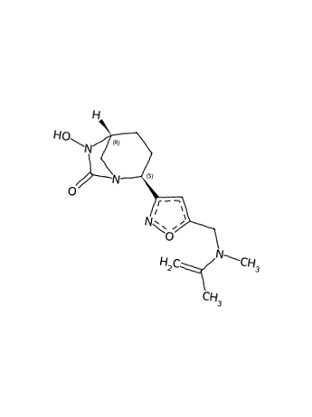 C=C(C)N(C)Cc1cc([C@@H]2CC[C@@H]3CN2C(=O)N3O)no1